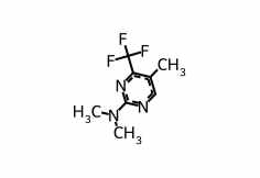 Cc1cnc(N(C)C)nc1C(F)(F)F